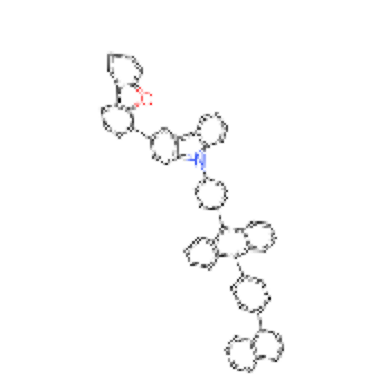 c1ccc2c(-c3ccc(-c4c5ccccc5c(-c5ccc(-n6c7ccccc7c7cc(-c8cccc9c8oc8ccccc89)ccc76)cc5)c5ccccc45)cc3)cccc2c1